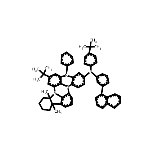 CC(C)(C)c1ccc(N(c2cccc(-c3cccc4ccccc34)c2)c2ccc3c(c2)N(c2ccccc2)c2cc(C(C)(C)C)cc4c2B3c2cccc3c2N4C2(C)CCCCC32C)cc1